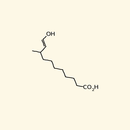 CC(C=CO)CCCCCCCC(=O)O